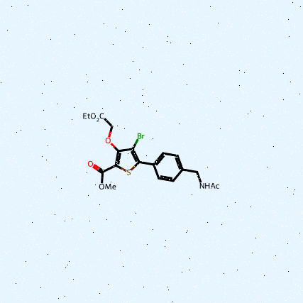 CCOC(=O)COc1c(C(=O)OC)sc(-c2ccc(CNC(C)=O)cc2)c1Br